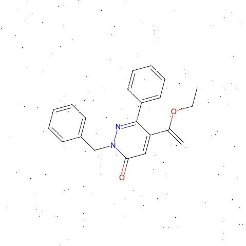 C=C(OCC)c1cc(=O)n(Cc2ccccc2)nc1-c1ccccc1